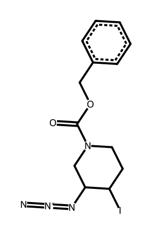 [N-]=[N+]=NC1CN(C(=O)OCc2ccccc2)CCC1I